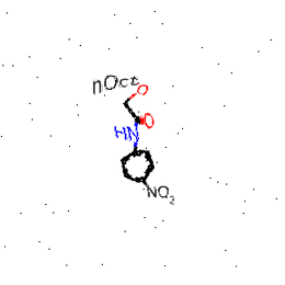 CCCCCCCCOCC(=O)Nc1ccc([N+](=O)[O-])cc1